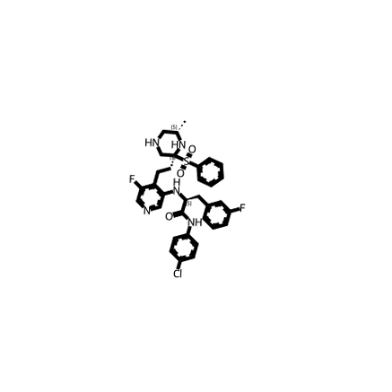 C[C@H]1CNC[C@](CCc2c(F)cncc2N[C@@H](Cc2cccc(F)c2)C(=O)Nc2ccc(Cl)cc2)(S(=O)(=O)c2ccccc2)N1